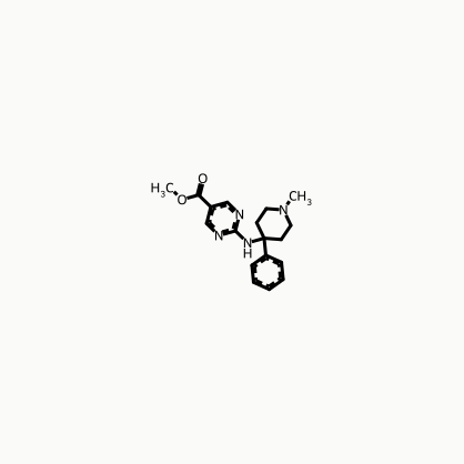 COC(=O)c1cnc(NC2(c3ccccc3)CCN(C)CC2)nc1